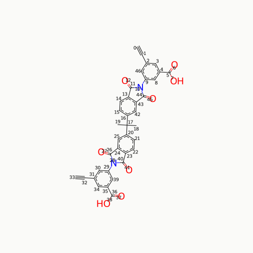 C#Cc1cc(C(=O)O)cc(N2C(=O)c3ccc(C(C)(C)c4ccc5c(c4)C(=O)N(c4cc(C#C)cc(C(=O)O)c4)C5=O)cc3C2=O)c1